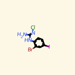 NC(=NCl)Nc1ccc(I)cc1Br